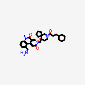 CN(C)C(=O)c1cn(CC2(O)CCN(C(=O)CCC3CCCCC3)CC23CCCC3)c(=O)cc1-c1ccccc1CN